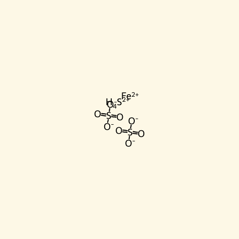 O=S(=O)([O-])[O-].O=S(=O)([O-])[O-].[Fe+2].[SH4+2]